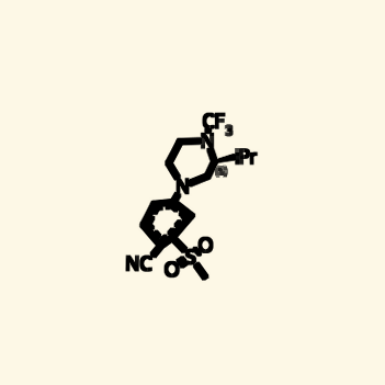 CC(C)[C@H]1CN(c2ccc(C#N)c(S(C)(=O)=O)c2)CCN1C(F)(F)F